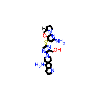 Nc1cc(Sc2cnc(N3CCC4(CC3)Cc3ncccc3[C@H]4N)c(CO)n2)c2c(n1)N1CCC[C@H]1CO2